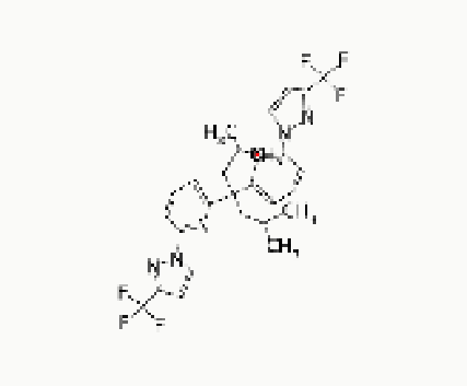 CC(C)CC(CC(C)C)(c1cccc(-n2ccc(C(F)(F)F)n2)n1)c1cccc(-n2ccc(C(F)(F)F)n2)n1